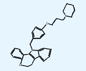 c1ccc2c(c1)OCCc1c-2n(Cc2ccc(OCCCN3CCCCC3)cc2)c2ccccc12